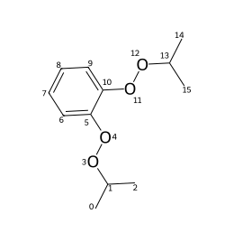 CC(C)OOc1ccccc1OOC(C)C